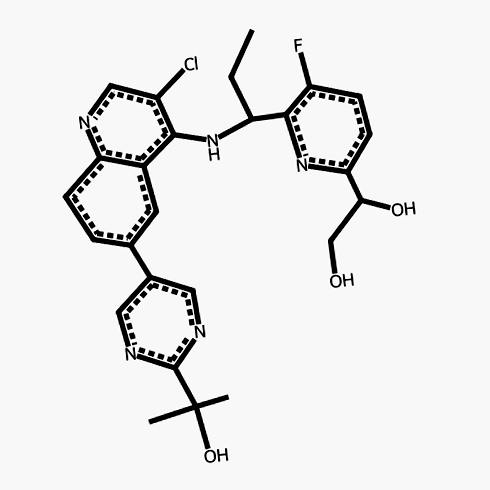 CCC(Nc1c(Cl)cnc2ccc(-c3cnc(C(C)(C)O)nc3)cc12)c1nc(C(O)CO)ccc1F